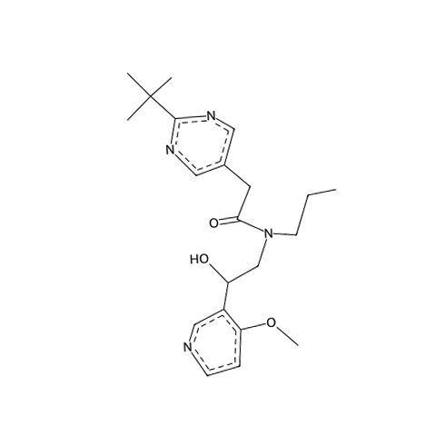 CCCN(CC(O)c1cnccc1OC)C(=O)Cc1cnc(C(C)(C)C)nc1